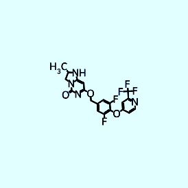 CC1Cn2c(cc(OCc3cc(F)c(Oc4ccnc(C(F)(F)F)c4)c(F)c3)nc2=O)N1